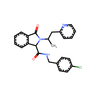 CC(Cc1ccccn1)N1C(=O)c2ccccc2C1C(=O)NCc1ccc(Cl)cc1